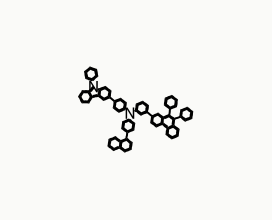 c1ccc(-c2c(-c3ccccc3)c3cc(-c4cccc(N(c5ccc(-c6ccc7c(c6)c6ccccc6n7-c6ccccc6)cc5)c5ccc(-c6cccc7ccccc67)cc5)c4)ccc3c3ccccc23)cc1